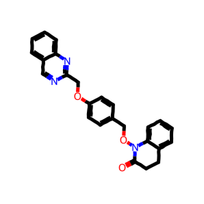 O=C1CCc2ccccc2N1OCc1ccc(OCc2ncc3ccccc3n2)cc1